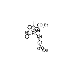 CCOC(=O)c1cnc(Nc2cnn(C3CCN(C(=O)OC(C)(C)C)CC3)c2)nc1Nc1cccc(-c2nc3ccccc3o2)c1OC